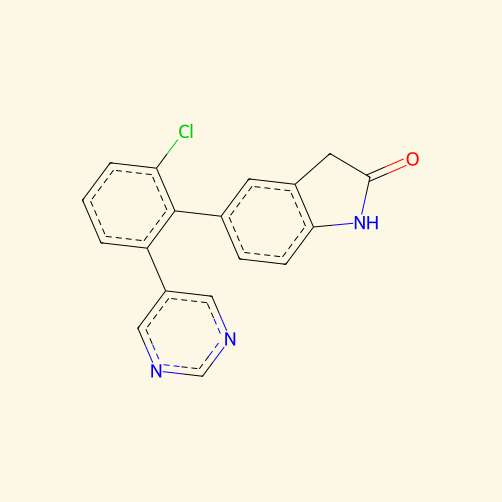 O=C1Cc2cc(-c3c(Cl)cccc3-c3cncnc3)ccc2N1